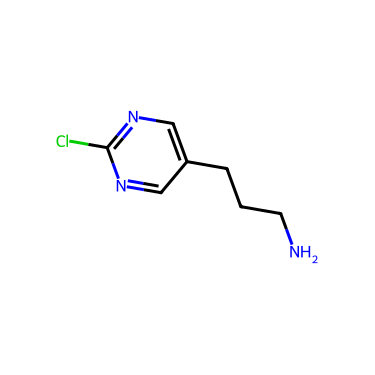 NCCCc1cnc(Cl)nc1